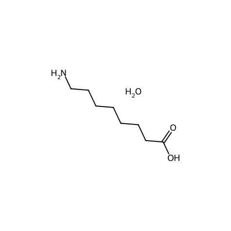 NCCCCCCCC(=O)O.O